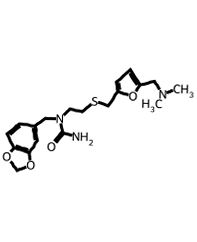 CN(C)Cc1ccc(CSCCN(Cc2ccc3c(c2)OCO3)C(N)=O)o1